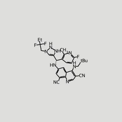 CCC(F)(F)CN1C=C([C@@H](Nc2cc(C#N)c3ncc(C#N)c(NCC(C)(C)C)c3c2)c2ccc(F)nc2C)NN1